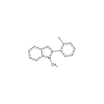 Cn1c(-c2ccccc2I)cc2ccccc21